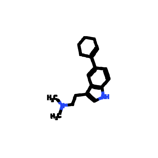 CN(C)CCc1c[nH]c2ccc(C3=CCCCC3)cc12